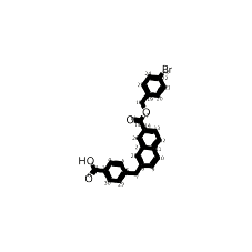 O=C(O)c1ccc(Cc2ccc3ccc(C(=O)OCc4ccc(Br)cc4)cc3c2)cc1